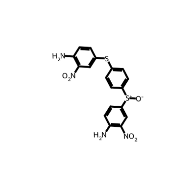 Nc1ccc(Sc2ccc([S+]([O-])c3ccc(N)c([N+](=O)[O-])c3)cc2)cc1[N+](=O)[O-]